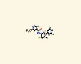 Cc1cc(F)c(NC(=O)c2ccnc(C(F)(F)F)c2)cc1-c1cc(F)nc(Cl)c1